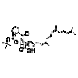 CC(C)=CCCC(C)=CCCC(C)=CCSC[C@H](NC(=O)[C@@H]1CCCN1C(=O)OC(C)(C)C)C(=O)O